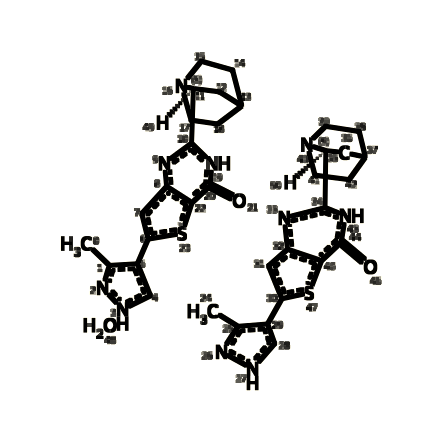 Cc1n[nH]cc1-c1cc2nc([C@@H]3CC4CCN3CC4)[nH]c(=O)c2s1.Cc1n[nH]cc1-c1cc2nc([C@@H]3CC4CCN3CC4)[nH]c(=O)c2s1.O